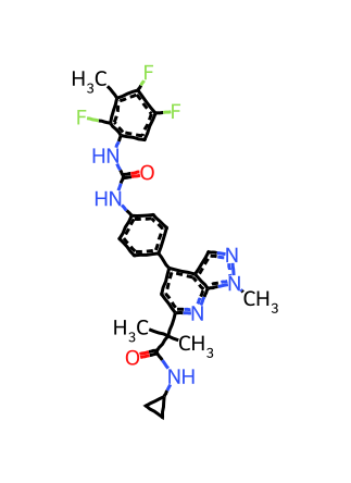 Cc1c(F)c(F)cc(NC(=O)Nc2ccc(-c3cc(C(C)(C)C(=O)NC4CC4)nc4c3cnn4C)cc2)c1F